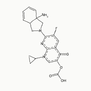 NC12C=CC=CC1CN(c1nc3c(cc1F)c(=O)c(OC(=O)O)cn3C1CC1)C2